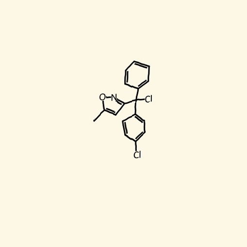 Cc1cc(C(Cl)(c2ccccc2)c2ccc(Cl)cc2)no1